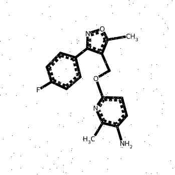 Cc1nc(OCc2c(-c3ccc(F)cc3)noc2C)ccc1N